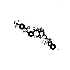 CN1C(=O)c2cc(NC(=O)c3ccc(C(F)(F)F)cc3)ccc2OC[C@@H]2O[C@H](CC(=O)NC3(C)Cc4ccccc4C3)CC[C@@H]21